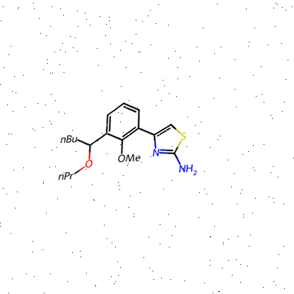 CCCCC(OCCC)c1cccc(-c2csc(N)n2)c1OC